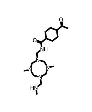 CNCN1CN(C)CN(CNC(=O)C2CCC(C(C)=O)CC2)CN(C)C1